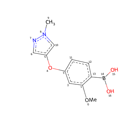 COc1cc(Oc2cnn(C)c2)ccc1B(O)O